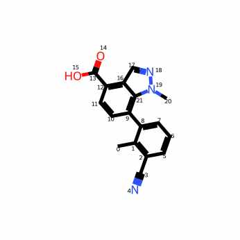 Cc1c(C#N)cccc1-c1ccc(C(=O)O)c2cnn(C)c12